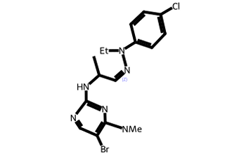 CCN(/N=C\C(C)Nc1ncc(Br)c(NC)n1)c1ccc(Cl)cc1